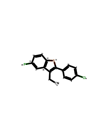 N#CCc1c(-c2ccc(Cl)cc2)sc2ccc(F)cc12